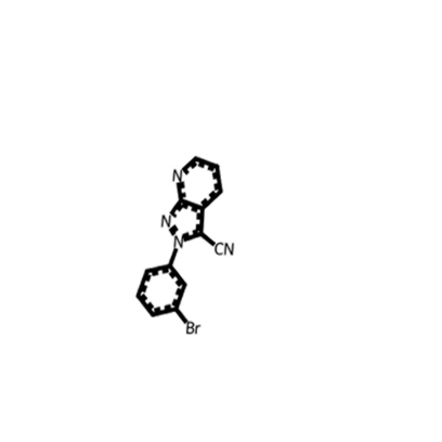 N#Cc1c2cccnc2nn1-c1cccc(Br)c1